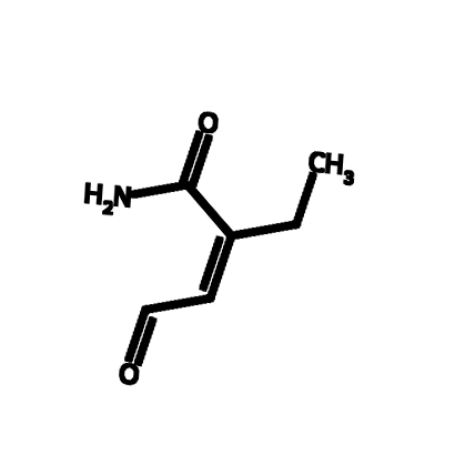 CCC(=CC=O)C(N)=O